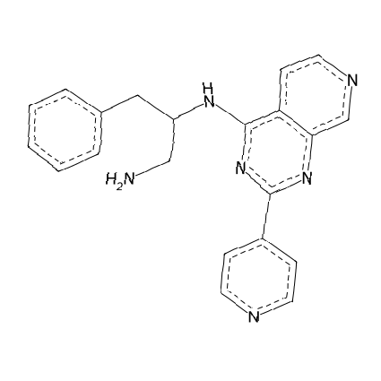 NCC(Cc1ccccc1)Nc1nc(-c2ccncc2)nc2cnccc12